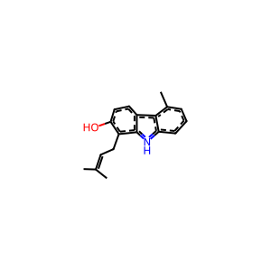 CC(C)=CCc1c(O)ccc2c1[nH]c1cccc(C)c12